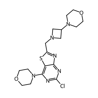 Clc1nc(N2CCOCC2)c2sc(CN3CC(N4CCOCC4)C3)nc2n1